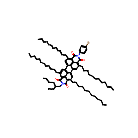 CCCCCCCCCCCCc1cc2c3cc(CCCCCCCCCCCC)c4c5c(c(CCCCCCCCCCCC)cc(c6cc(CCCCCCCCCCCC)c7c(c1C(=O)N(CC(CC)CCCC)C7=O)c26)c53)C(=O)N(c1ccc(Br)cc1)C4=O